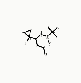 CC(C)(C)[S@@+]([O-])NC(CCO)C1(F)CC1